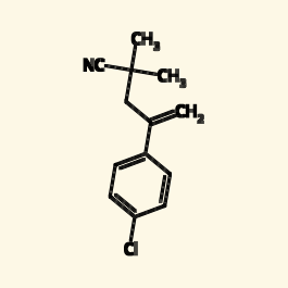 C=C(CC(C)(C)C#N)c1ccc(Cl)cc1